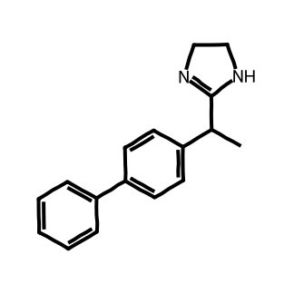 CC(C1=NCCN1)c1ccc(-c2ccccc2)cc1